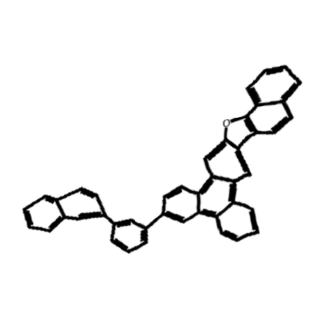 c1cc(-c2ccc3ccccc3c2)cc(-c2ccc3c(c2)c2ccccc2c2cc4c(cc32)oc2c3ccccc3ccc42)c1